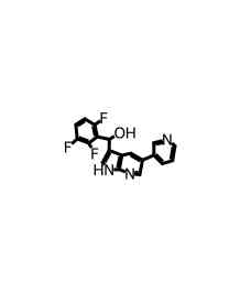 OC(c1c(F)ccc(F)c1F)c1c[nH]c2ncc(-c3cccnc3)cc12